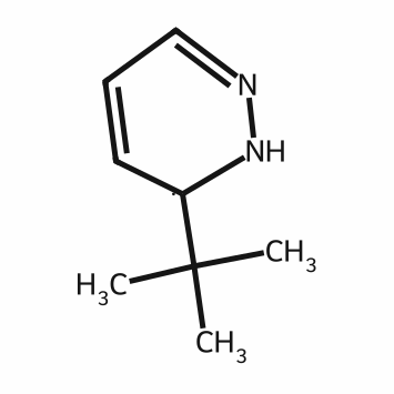 CC(C)(C)[C]1C=CC=NN1